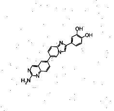 Nc1ncc2cc(-c3ccc4nc(-c5ccc(O)c(O)c5)cn4c3)ccc2n1